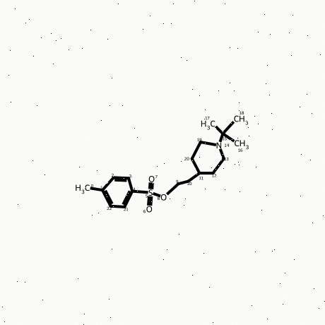 Cc1ccc(S(=O)(=O)OCCC2CCN(C(C)(C)C)CC2)cc1